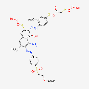 COc1cc(SOC(=O)CSOOO)ccc1N=Nc1c(SOOO)cc2cc(S(=O)(=O)O)c(N=Nc3ccc(S(=O)(=O)CCOS(=O)(=O)O)cc3)c(N)c2c1O